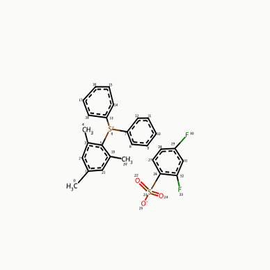 Cc1cc(C)c([S+](c2ccccc2)c2ccccc2)c(C)c1.O=S(=O)([O-])c1ccc(F)cc1F